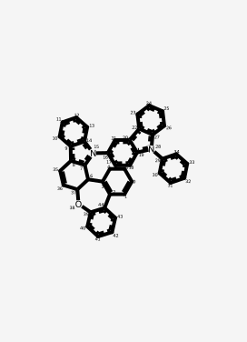 C1=CC2=C(CC1)C1c3c(c4ccccc4n3-c3ccc4c(c3)c3ccccc3n4-c3ccccc3)C=CC1Oc1ccccc12